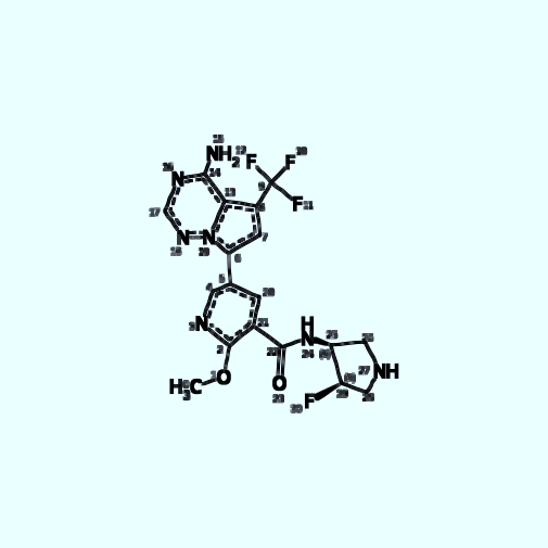 COc1ncc(-c2cc(C(F)(F)F)c3c(N)ncnn23)cc1C(=O)N[C@H]1CNC[C@H]1F